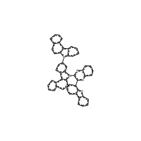 c1ccc2c(c1)ccc1c2c2ccccc2n1-c1ccc2c3c4ccccc4ccc3n(-c3nc4ccccc4nc3-c3cccc4c3oc3ccccc34)c2c1